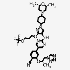 C[C@@H]1CN(C2CCC(n3cc(Nc4ncc(-c5ccc(C#N)c(O[C@@H](C)Cn6cnnn6)c5)cn4)c(OCCCOC(F)(F)F)n3)CC2)C[C@H](C)O1